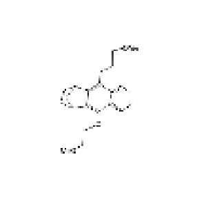 COCCCc1c2c(c(OCCOC)c3ccccc13)C1CCC2C1